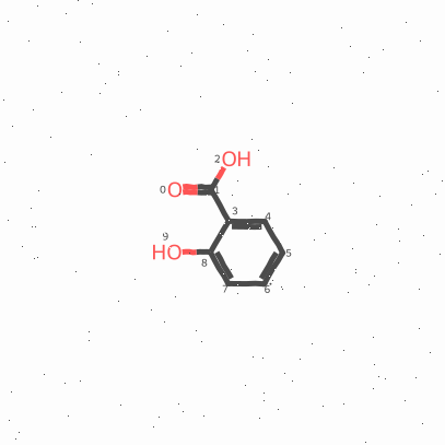 O=C(O)c1cc[c]cc1O